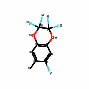 Cc1cc2c(cc1F)OC(F)(F)C(F)(F)O2